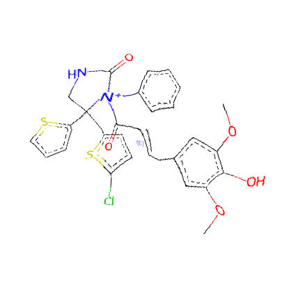 COc1cc(/C=C/C(=O)[N+]2(c3ccccc3)C(=O)NCC2(c2cccs2)c2ccc(Cl)s2)cc(OC)c1O